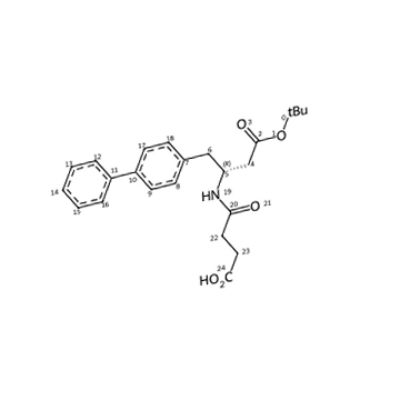 CC(C)(C)OC(=O)C[C@@H](Cc1ccc(-c2ccccc2)cc1)NC(=O)CCC(=O)O